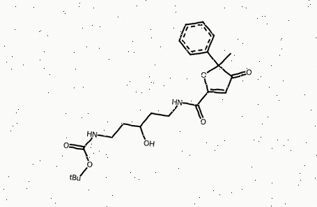 CC(C)(C)OC(=O)NCCC(O)CCNC(=O)C1=CC(=O)C(C)(c2ccccc2)O1